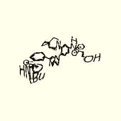 CC(C)(C)NS(=O)(=O)c1cccc(-c2cn(-c3ccc(NS(=O)(=O)CCO)cc3N3CCC4(CC3)CC4)nn2)c1